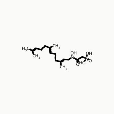 CC(C)=CCCC(C)=CCCC(C)=CCN(O)C(=O)CP(=O)(O)O